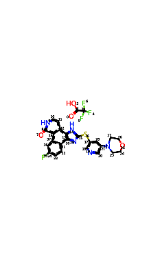 O=C(O)C(F)(F)F.O=c1[nH]ccc2c3[nH]c(Sc4cncc(N5CCOCC5)c4)nc3c3ccc(F)cc3c12